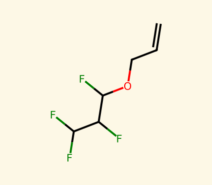 C=CCOC(F)C(F)C(F)F